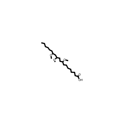 CCCCCCC(CC(CCC(CCCCCCCC(=O)O)OC)OC)OC